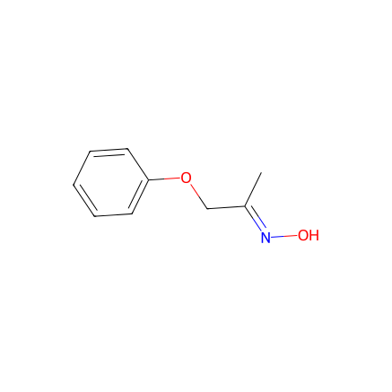 C/C(COc1ccccc1)=N\O